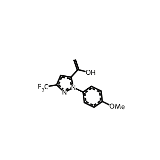 C=C(O)c1cc(C(F)(F)F)nn1-c1ccc(OC)cc1